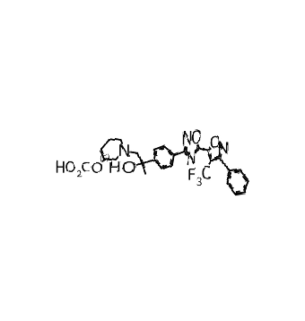 CC(O)(CN1CCC[C@H](OC(=O)O)C1)c1ccc(-c2noc(-c3onc(-c4ccccc4)c3C(F)(F)F)n2)cc1